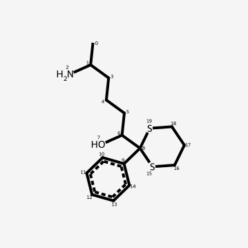 CC(N)CCCC(O)C1(c2ccccc2)SCCCS1